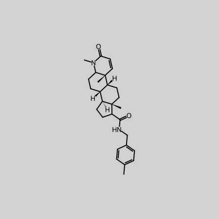 Cc1ccc(CNC(=O)C2CC[C@H]3[C@@H]4CCC5N(C)C(=O)C=C[C@]5(C)[C@@H]4CC[C@]23C)cc1